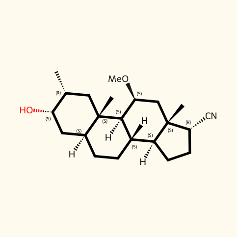 CO[C@H]1C[C@]2(C)[C@H](C#N)CC[C@H]2[C@@H]2CC[C@H]3C[C@H](O)[C@H](C)C[C@]3(C)[C@H]21